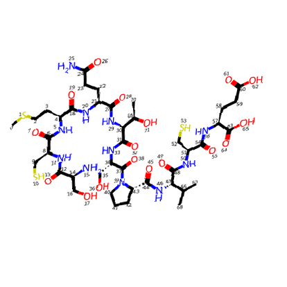 CSCC[C@H](NC(=O)[C@H](CS)NC(=O)[C@@H](N)CO)C(=O)N[C@@H](CCC(N)=O)C(=O)N[C@H](C(=O)N[C@@H](CO)C(=O)N1CCC[C@H]1C(=O)N[C@H](C(=O)N[C@@H](CS)C(=O)N[C@@H](CCC(=O)O)C(=O)O)C(C)C)[C@@H](C)O